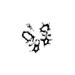 Br.Br.C[Si](C)(C1=[C]([Hf][C]2=C([Si](C)(C)N3CCCCC3)C=CC2)CC=C1)N1CCCCC1